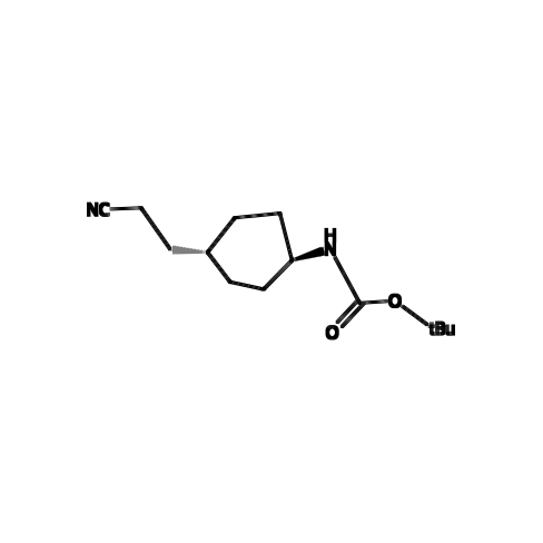 CC(C)(C)OC(=O)N[C@H]1CC[C@H](CCC#N)CC1